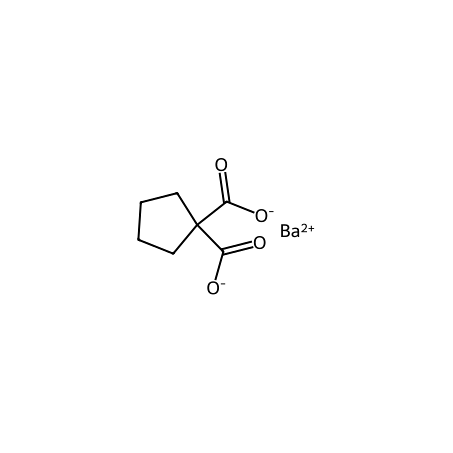 O=C([O-])C1(C(=O)[O-])CCCC1.[Ba+2]